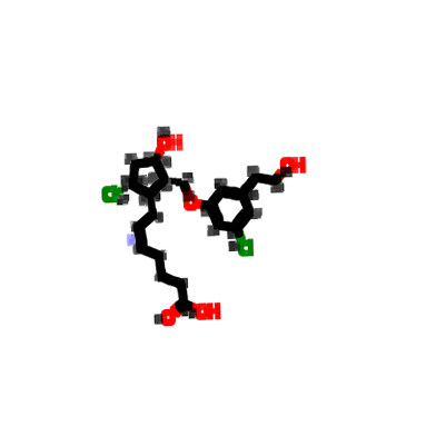 O=C(O)CCC/C=C\C[C@@H]1[C@@H](COc2cc(Cl)cc(CCO)c2)[C@H](O)C[C@H]1Cl